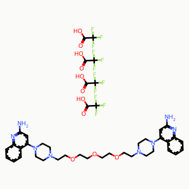 Nc1cc(N2CCN(CCOCCOCCOCCN3CCN(c4cc(N)nc5ccccc45)CC3)CC2)c2ccccc2n1.O=C(O)C(F)(F)F.O=C(O)C(F)(F)F.O=C(O)C(F)(F)F.O=C(O)C(F)(F)F